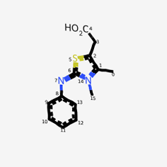 Cc1c(CC(=O)O)s/c(=N/c2ccccc2)n1C